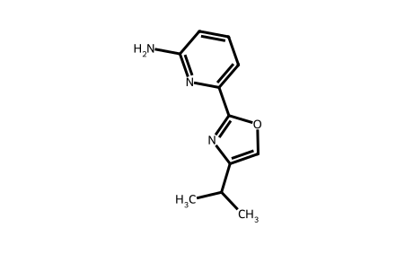 CC(C)c1coc(-c2cccc(N)n2)n1